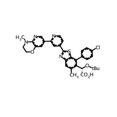 Cc1cc2nc(-c3ccnc(-c4cnc5c(c4)OCCN5C)c3)sc2c(-c2ccc(Cl)cc2)c1[C@H](OC(C)(C)C)C(=O)O